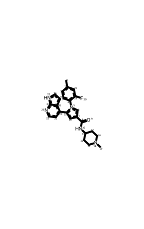 Cc1ccc(-n2cc(C(=O)NC3CCN(C)CC3)cc2-c2ccnc3[nH]ccc23)c(F)c1